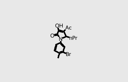 CCCC1C(C(C)=O)=C(O)C(=O)N1c1ccc(C)c(Br)c1